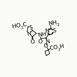 Nc1nc(/C(=N/OC2(C(=O)O)CCC2)C(=O)N[C@@H]2C(=O)N3C[C@H](C(=O)O)SC23)cs1